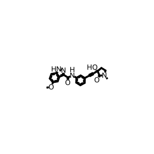 COc1ccc2[nH]nc(C(=O)Nc3cccc(C#C[C@]4(O)CCN(C)C4=O)c3)c2c1